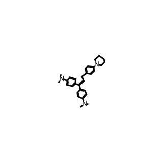 CN(C)c1ccc(C(=CCc2ccc(N3CCCCC3)cc2)c2ccc(N(C)C)cc2)cc1